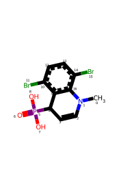 CN1C=CC(P(=O)(O)O)c2c(Br)ccc(Br)c21